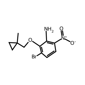 CC1(COc2c(Br)ccc([N+](=O)[O-])c2N)CC1